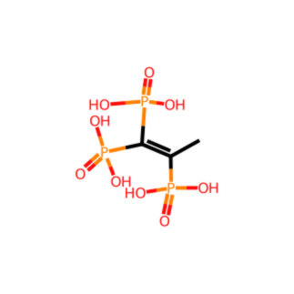 CC(=C(P(=O)(O)O)P(=O)(O)O)P(=O)(O)O